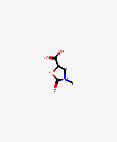 CN1CC(C(=O)O)OC1=O